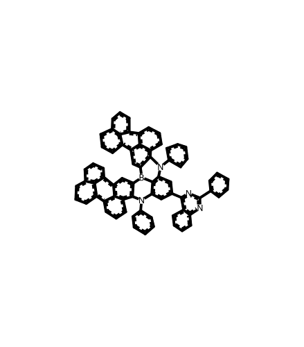 c1ccc(-c2nc(-c3cc4c5c(c3)N(c3ccccc3)c3c(cc6c7cccc8cccc(c9cccc3c96)c87)B5c3cc5c6cccc7cccc(c8cccc(c3N4c3ccccc3)c85)c76)c3ccccc3n2)cc1